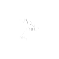 NCCCCCC(N)c1cc(N)ccc1N